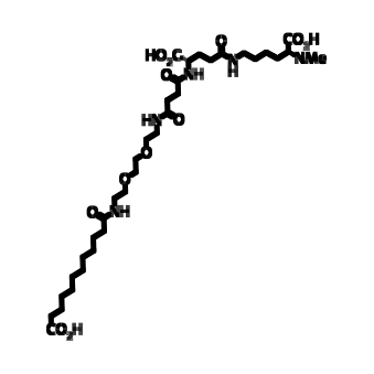 CN[C@@H](CCCCNC(=O)CC[C@H](NC(=O)CCC(=O)NCCOCCOCCNC(=O)CCCCCCCCCCC(=O)O)C(=O)O)C(=O)O